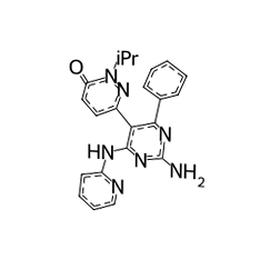 CC(C)n1nc(-c2c(Nc3ccccn3)nc(N)nc2-c2ccccc2)ccc1=O